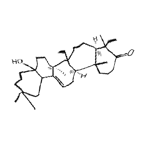 CC1(C)CCC2(O)CC[C@]3(C)C(=CC[C@@H]4C5(C)CCC(=O)C(C)(C)[C@@H]5CCC43C)C2C1